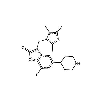 Cc1nn(C)c(C)c1Cn1c(=O)oc2c(F)cc(C3CCNCC3)cc21